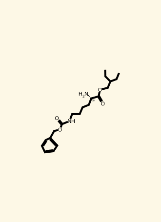 CCC(CC)COC(=O)[C@@H](N)CCCCNC(=O)OCc1ccccc1